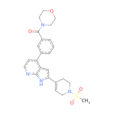 CS(=O)(=O)N1CC=C(c2cc3c(-c4cccc(C(=O)N5CCOCC5)c4)ccnc3[nH]2)CC1